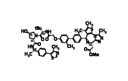 COC(=O)C[C@@H]1N=C(c2ccc(-c3ccc(OCC(=O)N[C@H](C(=O)N4C[C@H](O)C[C@H]4C(=O)N[C@@H](C)c4ccc(-c5scnc5C)cc4)C(C)(C)C)cc3C)cc2)c2c(sc(C)c2C)-n2c(C)nnc21